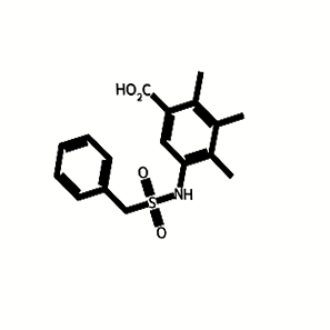 Cc1c(NS(=O)(=O)Cc2ccccc2)cc(C(=O)O)c(C)c1C